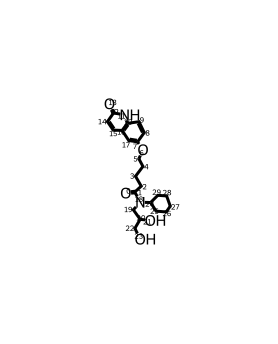 O=C(CCCCOc1ccc2[nH]c(=O)ccc2c1)N(CC(O)CO)C1CCCCC1